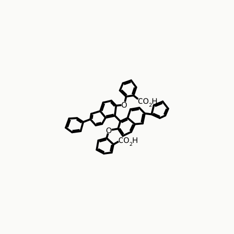 O=C(O)c1ccccc1Oc1ccc2cc(-c3ccccc3)ccc2c1-c1c(Oc2ccccc2C(=O)O)ccc2cc(-c3ccccc3)ccc12